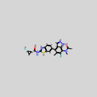 CC(=O)N(C)c1c(F)c(C)c(-c2ccc3nc(NC(=O)[C@@H]4C[C@@H]4F)sc3c2)c2cn[nH]c12